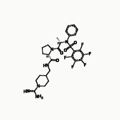 C[C@@H](C(=O)N1CCC[C@H]1C(=O)NCC1CCN(C(=N)N)CC1)N(c1ccccc1)S(=O)(=O)c1c(F)c(F)c(F)c(F)c1F